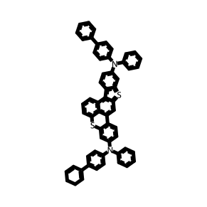 C1=CC(c2ccc(N(c3ccccc3)c3ccc4c(c3)Sc3cccc5c3c-4cc3sc4cc(N(c6ccccc6)c6ccc(-c7ccccc7)cc6)ccc4c35)cc2)=CCC1